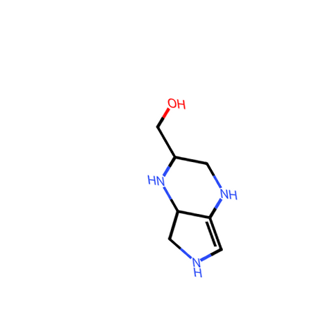 OCC1CNC2=CNCC2N1